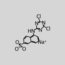 O=S(=O)([O-])c1ccc2c(Nc3nc(Cl)nc(Cl)n3)cccc2c1.[Na+]